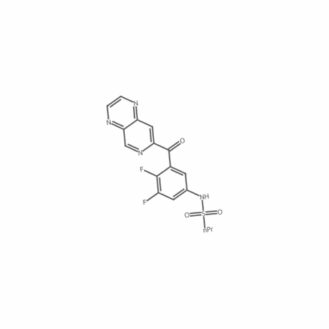 CCCS(=O)(=O)Nc1cc(F)c(F)c(C(=O)c2cc3nccnc3cn2)c1